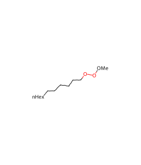 CCCCCCCCCCCCOOOC